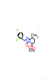 CC1CCC(C(=O)OC(C)(C)C)n2c1nn(Cc1ccc(F)cc1F)c2=O